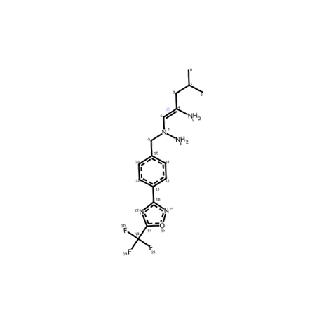 CC(C)C/C(N)=C/N(N)Cc1ccc(-c2noc(C(F)(F)F)n2)cc1